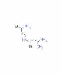 CCC(N)CCNC(CC)CC(N)N